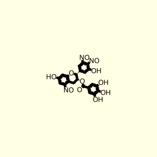 O=Nc1cc(O)cc2c1C[C@@H](OC(=O)c1cc(O)c(O)c(O)c1)[C@@H](c1cc(O)c(N=O)c(N=O)c1)O2